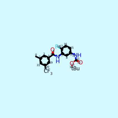 Cc1cc(C(=O)Nc2cc(NC(=O)OC(C)(C)C)ccc2F)cc(C(F)(F)F)c1